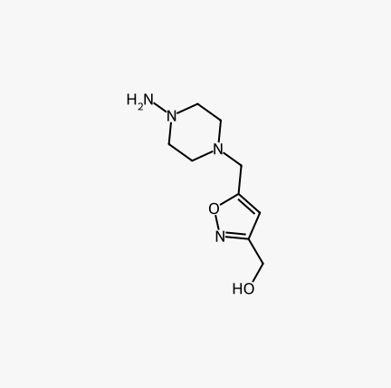 NN1CCN(Cc2cc(CO)no2)CC1